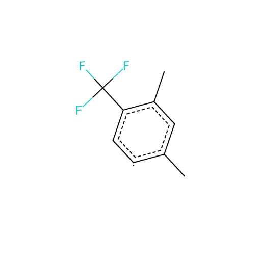 Cc1[c]cc(C(F)(F)F)c(C)c1